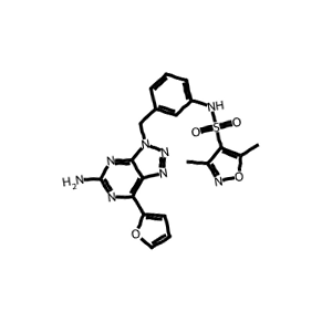 Cc1noc(C)c1S(=O)(=O)Nc1cccc(Cn2nnc3c(-c4ccco4)nc(N)nc32)c1